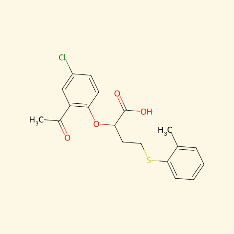 CC(=O)c1cc(Cl)ccc1OC(CCSc1ccccc1C)C(=O)O